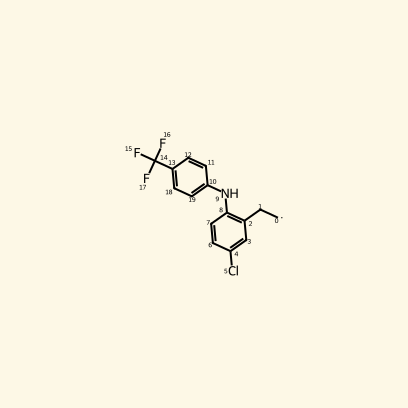 [CH2]Cc1cc(Cl)ccc1Nc1ccc(C(F)(F)F)cc1